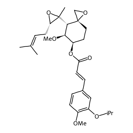 COc1ccc(/C=C/C(=O)O[C@@H]2CC[C@]3(CO3)[C@@H](C3(C)O[C@H]3CC=C(C)C)[C@@H]2OC)cc1OC(C)C